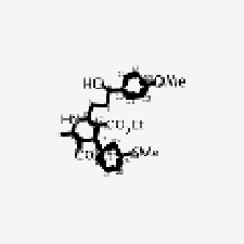 CCOC(=O)C1=C(C)NC(CCC(O)c2ccc(OC)cc2)=C(C(=O)OCC)C1c1cccc(SC)c1